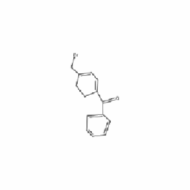 O=C(C1=CC=C(CBr)CC1)c1ccccc1